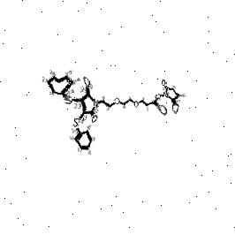 O=C(CCOCCOCCN1C(=O)C(Sc2ccccc2)=C(Sc2ccccc2)C1=O)ON1C(=O)CCC1=O